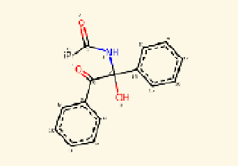 CC(C)C(=O)NC(O)(C(=O)c1ccccc1)c1ccccc1